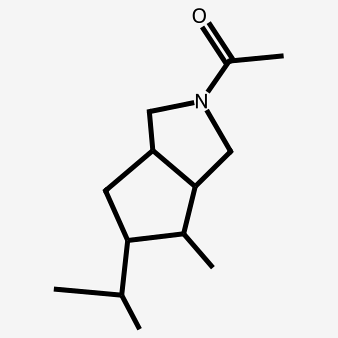 CC(=O)N1CC2CC(C(C)C)C(C)C2C1